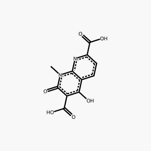 Cn1c(=O)c(C(=O)O)c(O)c2ccc(C(=O)O)nc21